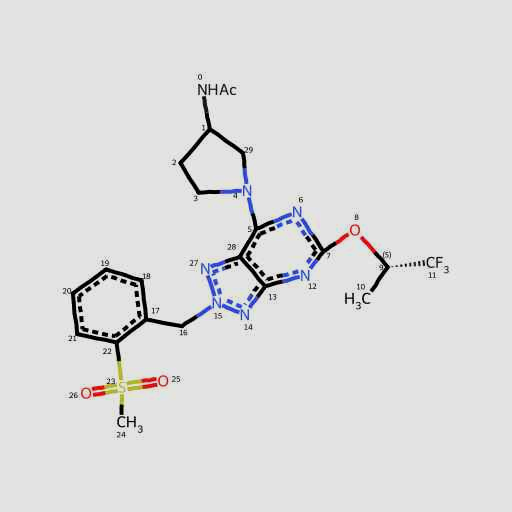 CC(=O)NC1CCN(c2nc(O[C@@H](C)C(F)(F)F)nc3nn(Cc4ccccc4S(C)(=O)=O)nc23)C1